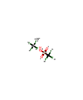 F[B-](F)(F)F.O=S(=O)(O)C(F)(F)F.[H+]